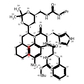 CC(C)NC(=O)NC[C@H]1C[C@@H]([C@H](CC2CCCCC2)N(C(=O)[C@H](Cc2c[nH]cn2)NC(=O)[C@H](Cc2ccccc2)NC(=O)OC(C)(C)C)c2ccc([N+](=O)[O-])cc2[N+](=O)[O-])OC(C)(C)O1